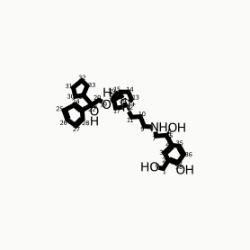 OCc1cc([C@H](O)CNCCC[N+]23CCC(CC2)[C@H](OC[C@](O)(c2ccccc2)C2CCCC2)C3)ccc1O